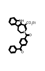 CCOC(=O)C1=CN(C(=O)c2ccc(C(=O)c3ccccc3)cc2)CCc2c1[nH]c1ccccc21